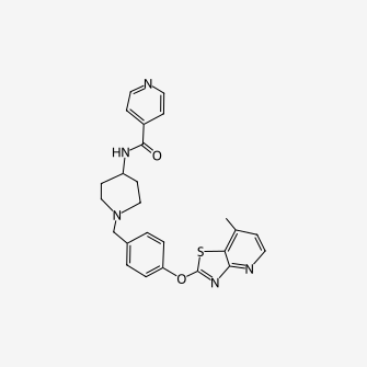 Cc1ccnc2nc(Oc3ccc(CN4CCC(NC(=O)c5ccncc5)CC4)cc3)sc12